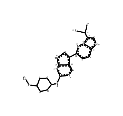 CCOC1CCC(Nc2ncc3c(-c4ccc5ncc(C(F)F)n5n4)c[nH]c3n2)CC1